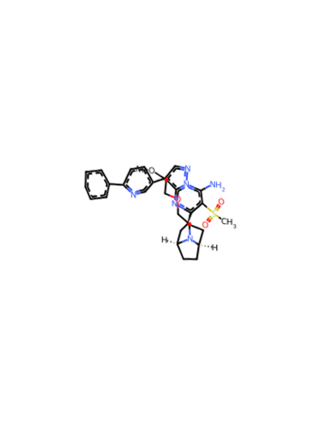 COCCOCCN1[C@@H]2CC[C@H]1C[C@@H](c1nc3c(-c4ccc(-c5ccccc5)nc4)cnn3c(N)c1S(C)(=O)=O)C2